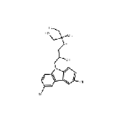 CC(CO)(CO)NCC(O)Cn1c2ccc(Cl)cc2c2cc(Cl)ccc21